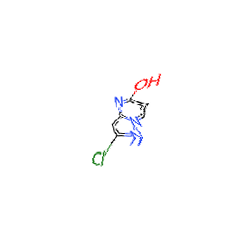 Oc1ccn2nc(Cl)cc2n1